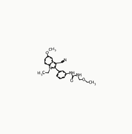 CCOCNC(=O)Nc1cccc(-c2c(C#N)c3cc(OC)ccc3n2CC)c1